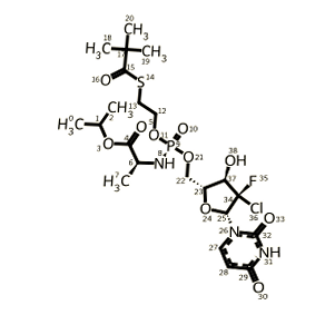 CC(C)OC(=O)[C@H](C)N[P@@](=O)(OCCSC(=O)C(C)(C)C)OC[C@H]1O[C@@H](n2ccc(=O)[nH]c2=O)[C@@](F)(Cl)[C@@H]1O